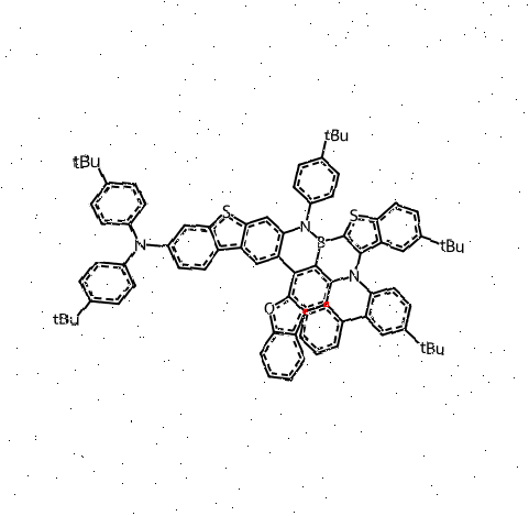 CC(C)(C)c1ccc(N2B3c4sc5ccc(C(C)(C)C)cc5c4N(c4ccc(C(C)(C)C)cc4-c4ccccc4)c4cc5c(oc6ccccc65)c(c43)-c3cc4c(cc32)sc2cc(N(c3ccc(C(C)(C)C)cc3)c3ccc(C(C)(C)C)cc3)ccc24)cc1